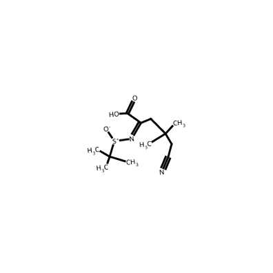 CC(C)(CC#N)CC(=N[S+]([O-])C(C)(C)C)C(=O)O